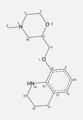 CN1CCOC(COc2cccc3c2NCCC3)C1